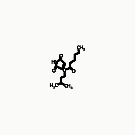 CCCCCC(=O)OCCC(C)C.O=C1C=CC(=O)N1